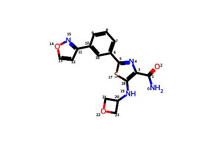 NC(=O)c1nc(-c2cccc(-c3ccon3)c2)sc1NC1COC1